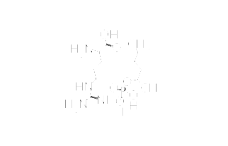 CCCCC(C)OP(=O)(O)O.N=C(N)NCCCC(N)C(=O)O